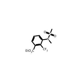 CCOC(=O)c1cccc(N(C)S(C)(=O)=O)c1C(F)(F)F